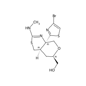 CNC1=N[C@@]2(c3nc(Br)cs3)CO[C@@H](CO)C[C@H]2CS1